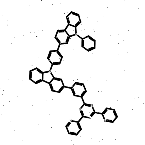 c1ccc(-n2c3ccccc3c3ccc(-c4ccc(-n5c6ccccc6c6ccc(-c7cccc(-c8nc(-c9ccccn9)nc(-c9ccccn9)n8)c7)cc65)cc4)cc32)cc1